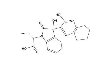 CCC(C(=O)O)N1C(=O)C(O)(c2cc3c(cc2O)CCCC3)C2=C1C=CCC2